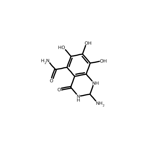 NC(=O)c1c(O)c(O)c(O)c2c1C(=O)NC(N)N2